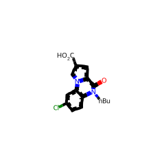 CCCCn1c(=O)c2cc(C(=O)O)cn2c2cc(Cl)ccc21